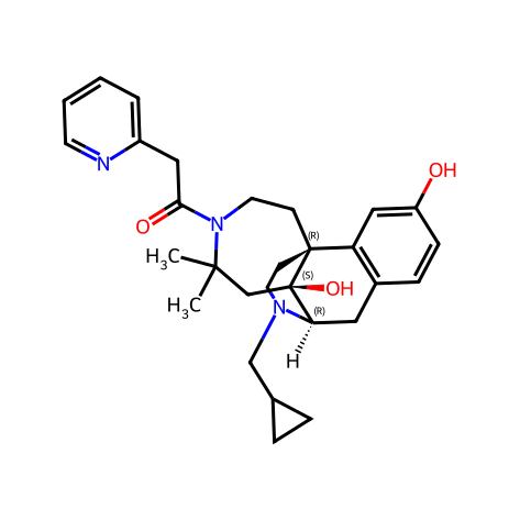 CC1(C)C[C@@]2(O)[C@H]3Cc4ccc(O)cc4[C@@]2(CCN3CC2CC2)CCN1C(=O)Cc1ccccn1